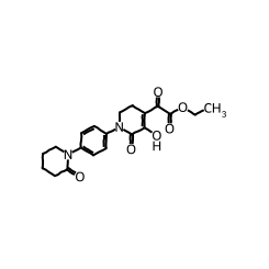 CCOC(=O)C(=O)C1=C(O)C(=O)N(c2ccc(N3CCCCC3=O)cc2)CC1